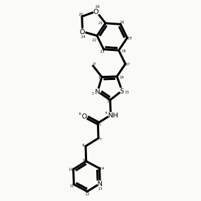 Cc1nc(NC(=O)CCc2cccnc2)sc1Cc1ccc2c(c1)OCO2